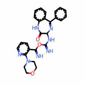 N=C(NC1N=C(c2ccccc2)c2ccccc2NC1=O)OC(=N)c1cccnc1N1CCOCC1